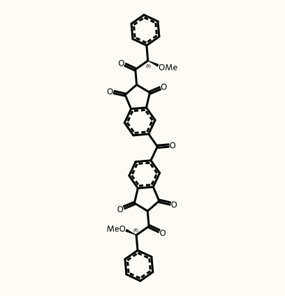 CO[C@@H](C(=O)C1C(=O)c2ccc(C(=O)c3ccc4c(c3)C(=O)C(C(=O)[C@H](OC)c3ccccc3)C4=O)cc2C1=O)c1ccccc1